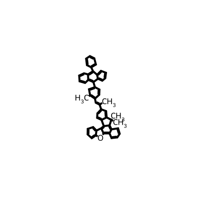 C/C(=C\c1ccc(-c2c3ccccc3c(-c3ccccc3)c3ccccc23)cc1C)c1ccc2c(c1)C(C)(C)c1c-2c2c3ccccc3oc2c2ccccc12